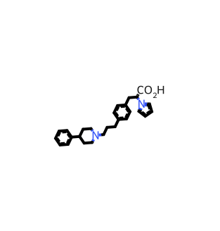 O=C(O)C(Cc1ccc(CCCN2CCC(c3ccccc3)CC2)cc1)n1cccc1